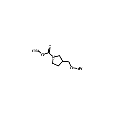 CCCCOC(=O)N1CCC(COCCC)C1